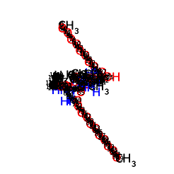 COCCOCCOCCOCCOCCOCCOCCOCCNC(=O)c1cc(NC(=O)[C@H](C)NC(=O)[C@@H](NC(=O)[C@H](CCC(=O)OC(C)(C)C)NC(=O)CCCNC(=O)[C@H](CCCCNC(=O)COCCOCCOCCOCCOCCOCCOCCOCCOCCOC)NC(=O)OCC2c3ccccc3-c3ccccc32)C(C)C)ccc1CO